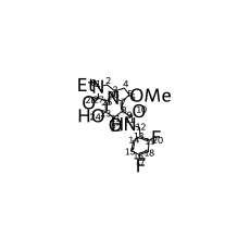 CCN1CC2CC(OC)c3c(C(=O)NCc4ccc(F)cc4F)c(=O)c(O)c(n32)C1=O